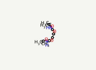 Cc1ccc(C(=O)Nc2ccc(Oc3ccc(-c4ccc(Oc5ccc(NC(=O)c6ccc(C)c(C)c6)cc5)cc4)cc3)cc2)cc1C